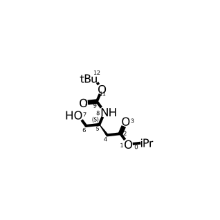 CC(C)OC(=O)C[C@@H](CO)NC(=O)OC(C)(C)C